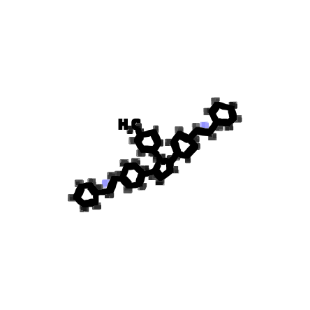 Cc1ccc(-n2c(-c3ccc(/C=C/c4ccccc4)cc3)ccc2-c2ccc(/C=C/c3ccccc3)cc2)cc1